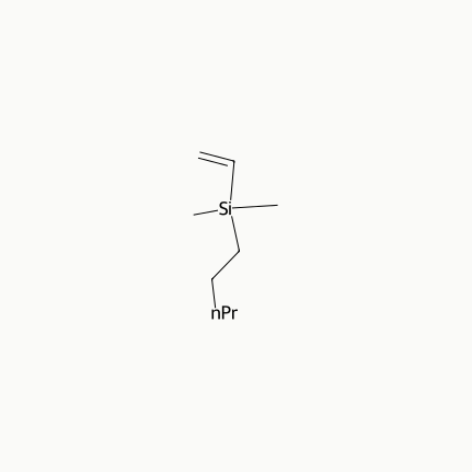 C=C[Si](C)(C)CCCCC